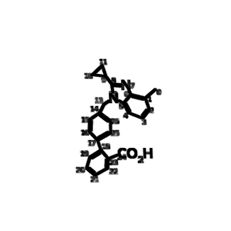 Cc1cccc2c1nc(C1CC1)n2Cc1ccc(-c2ccccc2C(=O)O)cc1